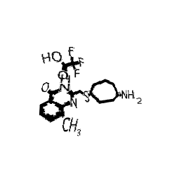 Cc1cccc2c(=O)[nH]c(CS[C@H]3CCC[C@@H](N)CC3)nc12.O=C(O)C(F)(F)F